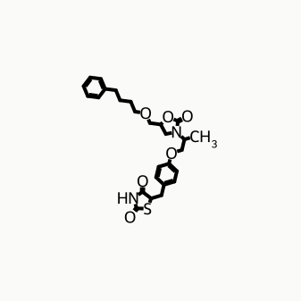 CC(COc1ccc(CC2SC(=O)NC2=O)cc1)N1CC(COCCCCc2ccccc2)OC1=O